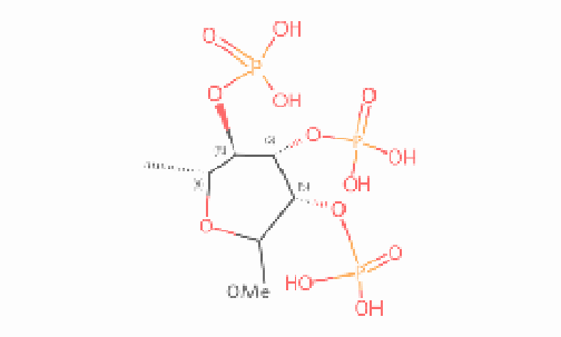 COC1O[C@H](C)[C@@H](OP(=O)(O)O)[C@H](OP(=O)(O)O)[C@@H]1OP(=O)(O)O